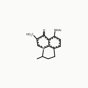 CC(=O)Nc1ccc2c3c1c(=O)c(C(=O)O)cn3C(C)CC2